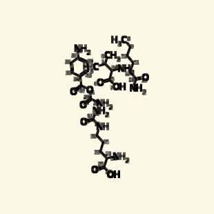 CC(C)C(N)C(=O)O.CCCCCC(N)=O.NC(=O)NCCCC(N)C(=O)O.NC(=O)OC(=O)c1ccc(N)cc1